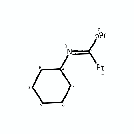 CCCC(CC)=NC1CCCCC1